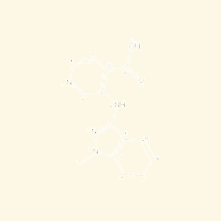 Cn1nc(Nc2cnccc2C(=O)O)c2c1CCC=C2